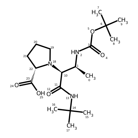 C[C@H](NC(=O)OC(C)(C)C)[C@@H](C(=O)NC(C)(C)C)N1CCC[C@H]1C(=O)O